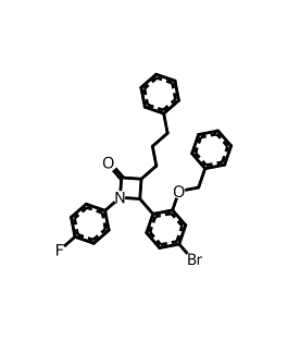 O=C1C(CCCc2ccccc2)C(c2ccc(Br)cc2OCc2ccccc2)N1c1ccc(F)cc1